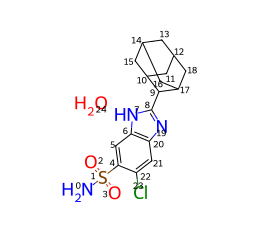 NS(=O)(=O)c1cc2[nH]c(C3C4CC5CC(C4)CC3C5)nc2cc1Cl.O